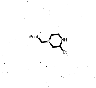 CCCC(C)CN1CCNC(CC)C1